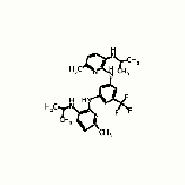 Cc1ccc(NC(C)C)c(Nc2cc(Nc3nc(C)ccc3NC(C)C)cc(C(F)(F)F)c2)n1